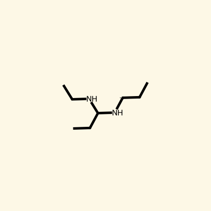 CC[CH]NC(CC)NCC